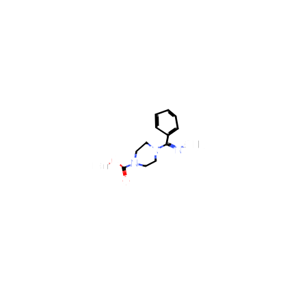 C/N=C(\c1ccccc1)N1CCN(C(=O)OC(C)(C)C)CC1